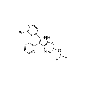 FC(F)Oc1cnc2c(-c3ccccn3)c(-c3ccnc(Br)c3)[nH]c2n1